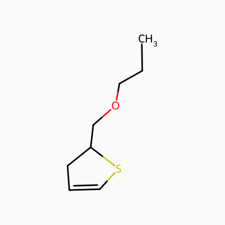 CCCOCC1CC=CS1